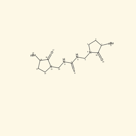 CCCCC1CCN(CNC(=S)NCN2CCC(CCCC)C2=O)C1=O